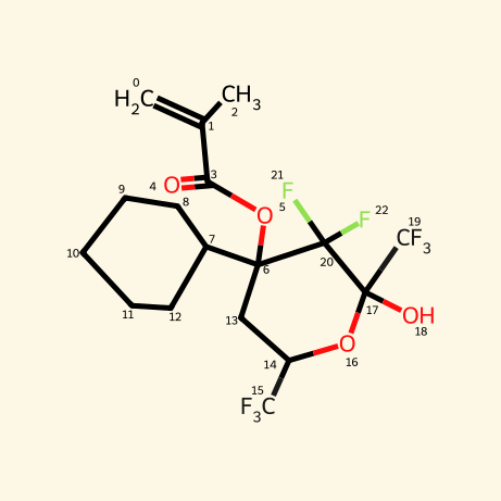 C=C(C)C(=O)OC1(C2CCCCC2)CC(C(F)(F)F)OC(O)(C(F)(F)F)C1(F)F